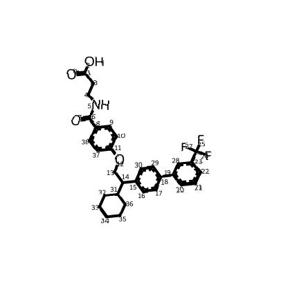 O=C(O)CCNC(=O)c1ccc(OCC(c2ccc(-c3cccc(C(F)(F)F)c3)cc2)C2CCCCC2)cc1